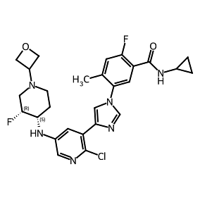 Cc1cc(F)c(C(=O)NC2CC2)cc1-n1cnc(-c2cc(N[C@H]3CCN(C4COC4)C[C@H]3F)cnc2Cl)c1